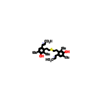 CC(C)(C)c1cc(/C=C/C(=O)O)c(CCSCCc2c(/C=C/C(=O)O)cc(C(C)(C)C)c(O)c2C(C)(C)C)c(C(C)(C)C)c1O